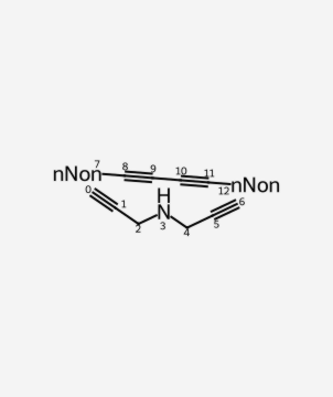 C#CCNCC#C.CCCCCCCCCC#CC#CCCCCCCCCC